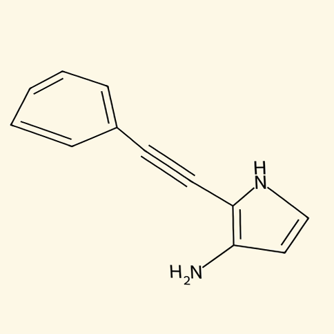 Nc1cc[nH]c1C#Cc1ccccc1